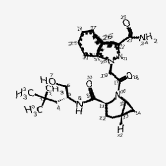 CC(C)(C)C[C@H](CO)NC(=O)[C@@H]1C[C@H]2CC2N1C(=O)Cn1nc(C(N)=O)c2ccccc21